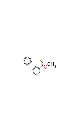 COC(=S)c1cccc(Cc2ccccc2)c1